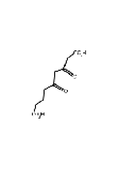 O=C(O)CCCC(=O)CC(=O)CC(=O)O